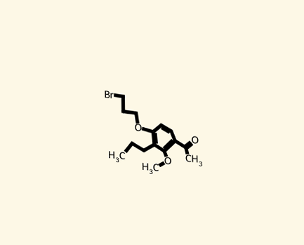 CCCc1c(OCCCBr)ccc(C(C)=O)c1OC